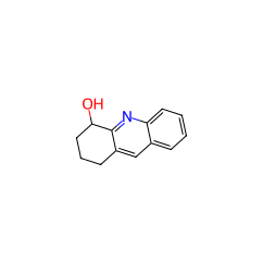 OC1CCCc2cc3ccccc3nc21